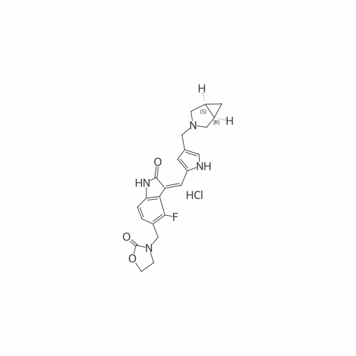 Cl.O=C1Nc2ccc(CN3CCOC3=O)c(F)c2C1=Cc1cc(CN2C[C@H]3C[C@H]3C2)c[nH]1